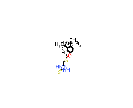 CC(C)(C)c1ccc(OCSCc2n[nH]c(=S)[nH]2)cc1C(C)(C)C